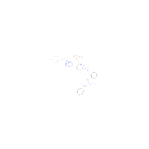 CC12CC3CC(C)(C1)CC(Cn1cc(-c4ccc(N5CCc6cccc(C(=O)Nc7nc8ccccc8s7)c6C5)nc4C(=O)OC(C)(C)C)cn1)(C3)C2